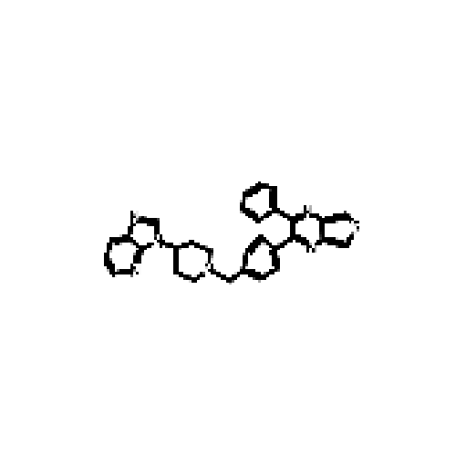 c1ccc(-c2nc3cscc3nc2-c2ccc(CN3CCC(n4cnc5cccnc54)CC3)cc2)cc1